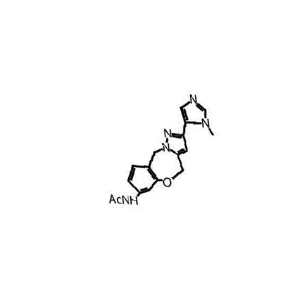 CC(=O)Nc1ccc2c(c1)OCc1cc(-c3cncn3C)nn1C2